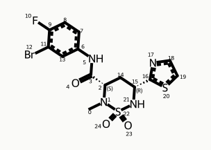 CN1[C@H](C(=O)Nc2ccc(F)c(Br)c2)C[C@H](c2nccs2)NS1(=O)=O